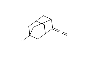 O=C=C1C2CC3CC1CC(O)(C3)C2